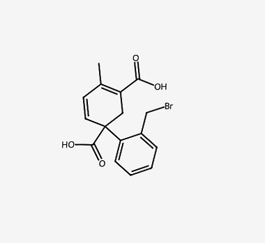 CC1=C(C(=O)O)CC(C(=O)O)(c2ccccc2CBr)C=C1